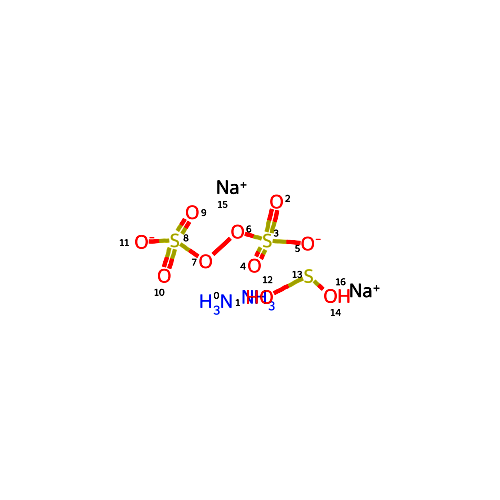 N.N.O=S(=O)([O-])OOS(=O)(=O)[O-].OSO.[Na+].[Na+]